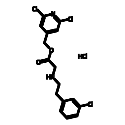 Cl.O=C(CNCCc1cccc(Cl)c1)OCc1cc(Cl)nc(Cl)c1